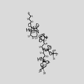 CCCCON1C(=O)N2C[C@@H]1CC[C@H]2c1nnc(CCN(CCNC(=O)OC(C)(C)C)C(=O)OC(C)(C)C)o1